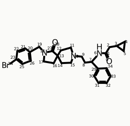 O=C(CC1CC1)NC(CCN1CCC2(CC1)CCN(Cc1ccc(Br)cc1)C2=O)c1ccccc1